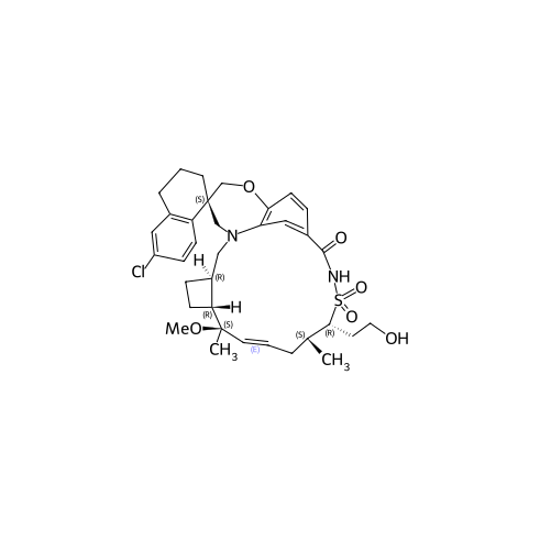 CO[C@]1(C)/C=C/C[C@H](C)[C@@H](CCO)S(=O)(=O)NC(=O)c2ccc3c(c2)N(C[C@@H]2CC[C@H]21)C[C@@]1(CCCc2cc(Cl)ccc21)CO3